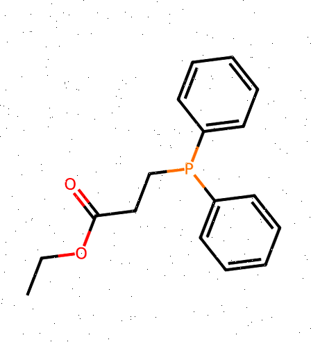 CCOC(=O)CCP(c1ccccc1)c1ccccc1